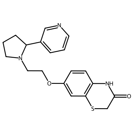 O=C1CSc2cc(OCCN3CCCC3c3cccnc3)ccc2N1